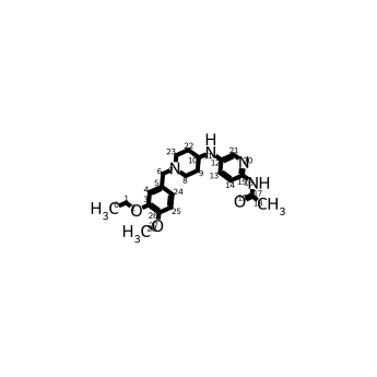 CCOc1cc(CN2CCC(Nc3ccc(NC(C)=O)nc3)CC2)ccc1OC